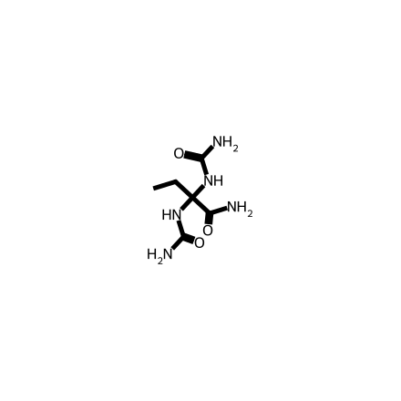 CCC(NC(N)=O)(NC(N)=O)C(N)=O